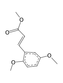 COC(=O)C=Cc1cc(OC)ccc1OC